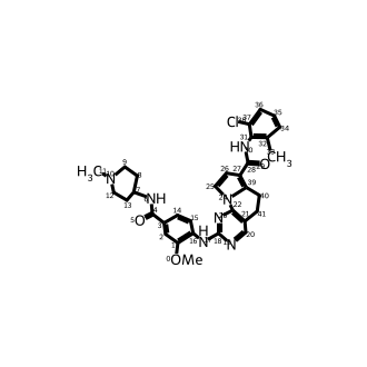 COc1cc(C(=O)NC2CCN(C)CC2)ccc1Nc1ncc2c(n1)-n1ccc(C(=O)Nc3c(C)cccc3Cl)c1CC2